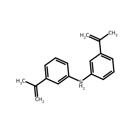 C=C(C)c1cccc([SiH2]c2cccc(C(=C)C)c2)c1